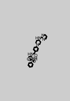 O=C(O)CC(NC(=O)c1ccc(N2CCC(Nc3ncccn3)CC2)cc1)NS(=O)(=O)c1ccccc1